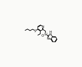 CCCCSc1ccnc(C[S+]([O-])c2nc3ccccc3[nH]2)c1CC